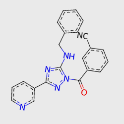 N#Cc1cccc(C(=O)n2nc(-c3cccnc3)nc2NCc2ccccc2)c1